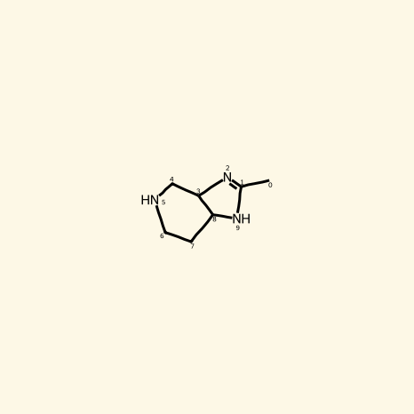 CC1=NC2CNCCC2N1